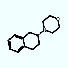 c1ccc2c(c1)CC[C@H](N1CCOCC1)C2